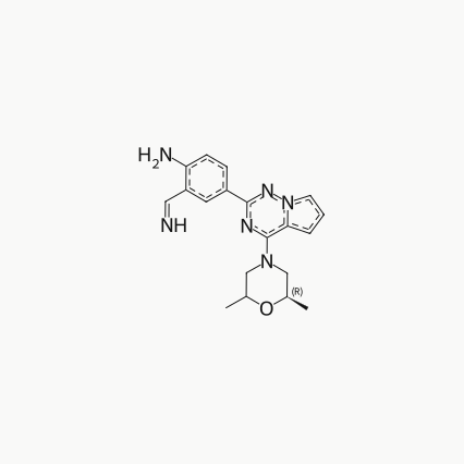 CC1CN(c2nc(-c3ccc(N)c(C=N)c3)nn3cccc23)C[C@@H](C)O1